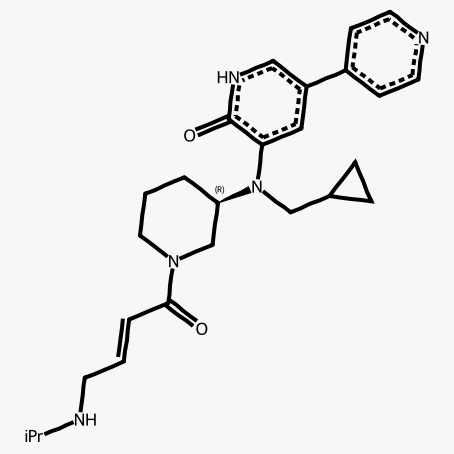 CC(C)NCC=CC(=O)N1CCC[C@@H](N(CC2CC2)c2cc(-c3ccncc3)c[nH]c2=O)C1